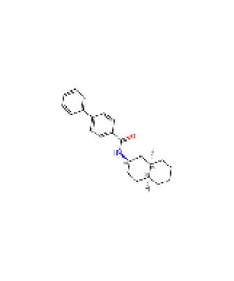 O=C(N[C@@H]1CC[C@@H]2CCCC[C@@H]2C1)c1ccc(-c2ccccc2)cc1